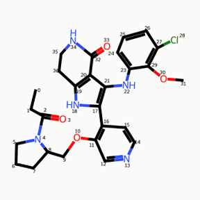 CCC(=O)N1CCCC1COc1cnccc1-c1[nH]c2c(c1Nc1cccc(Cl)c1OC)C(=O)NCC2